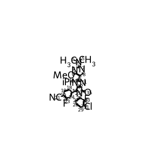 COc1nc(N(C)C)ncc1-c1nc2c(n1C(C)C)C(c1ccc(C#N)c(F)c1)N(c1cccc(Cl)c1F)C2=O